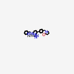 CNc1ccccc1CNc1ccc(-c2ccc(CN3CCCC3=O)cc2)c2nncn12